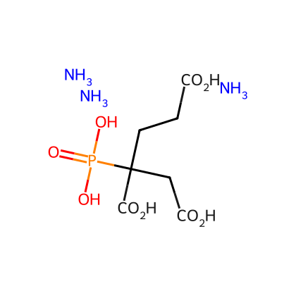 N.N.N.O=C(O)CCC(CC(=O)O)(C(=O)O)P(=O)(O)O